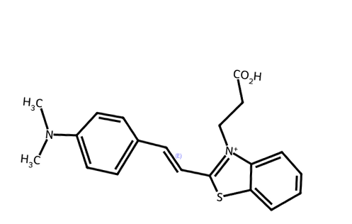 CN(C)c1ccc(/C=C/c2sc3ccccc3[n+]2CCC(=O)O)cc1